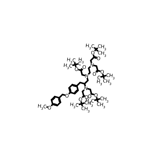 COc1ccc(COc2ccc(CC(CN(CCN(CC(=O)OC(C)(C)C)CC(=O)OC(C)(C)C)CC(=O)OC(C)(C)C)N(CC(=O)OC(C)(C)C)CC(=O)OC(C)(C)C)cc2)cc1